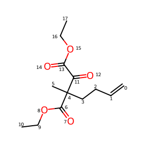 C=CCCC(C)(C(=O)OCC)C(=O)C(=O)OCC